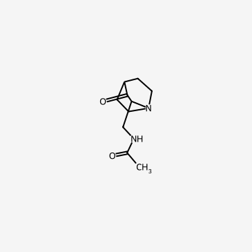 CC(=O)NCC1C(=O)C2CCN1CC2